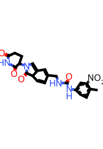 Cc1ccc(NC(=O)NCC2=CC3=CN(C4CCC(=O)NC4=O)C(=O)C3C=C2)cc1[N+](=O)[O-]